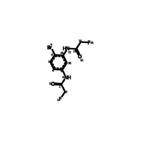 O=C(CF)Nc1ccc(Br)c(NC(=O)CF)c1